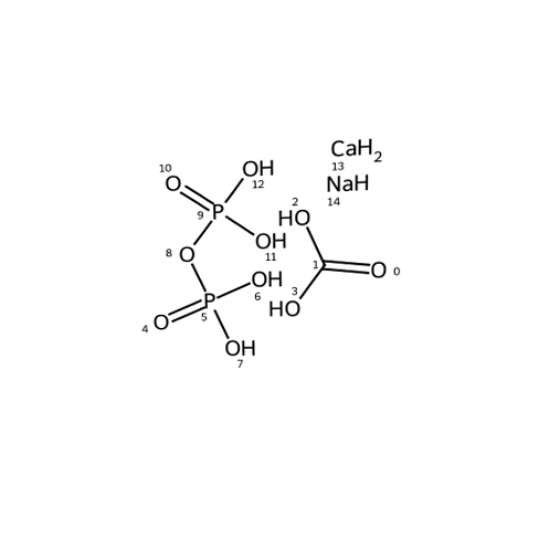 O=C(O)O.O=P(O)(O)OP(=O)(O)O.[CaH2].[NaH]